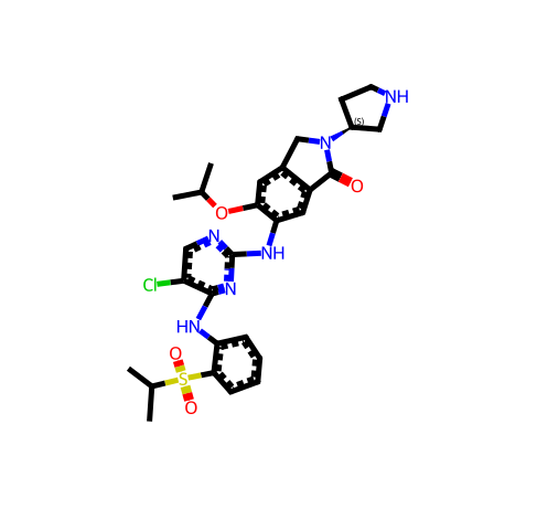 CC(C)Oc1cc2c(cc1Nc1ncc(Cl)c(Nc3ccccc3S(=O)(=O)C(C)C)n1)C(=O)N([C@H]1CCNC1)C2